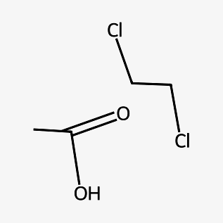 CC(=O)O.ClCCCl